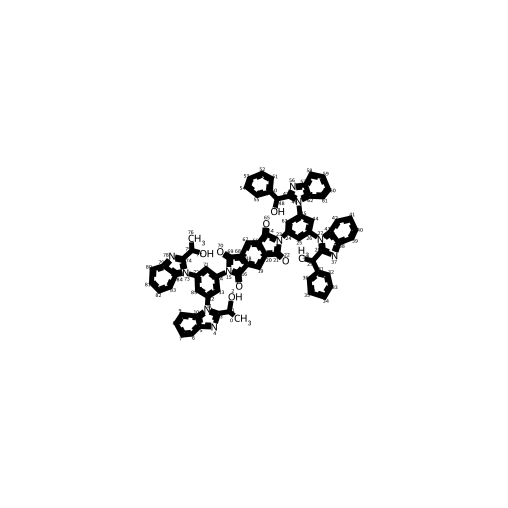 CC(O)c1nc2ccccc2n1-c1cc(-n2c(=O)c3cc4c(=O)n(-c5cc(-n6c(C(C)c7ccccc7)nc7ccccc76)cc(-n6c(C(O)c7ccccc7)nc7ccccc76)c5)c(=O)c4cc3c2=O)cc(-n2c(C(C)O)nc3ccccc32)c1